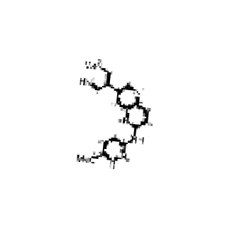 CN/C=C(\C=N)c1cnc2ccc(Nc3ccc(OC)nn3)nc2c1